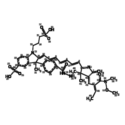 C=C1N=C(/C=C/C=C/C=C/C=C2/N(CCCS(=O)(=O)O)c3ccc(S(=O)(=O)O)cc3C2(C)c2ccc(C(=O)NN)cc2)C(C)(C)/C1=C/C(=C\C)C(=O)N(C)OC